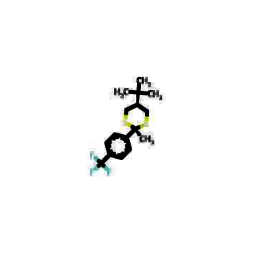 CC(C)(C)[C@H]1CS[C@](C)(c2ccc(C(F)(F)F)cc2)SC1